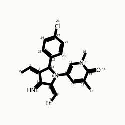 C/C=C1\C(=N)/C(=C\CC)N(c2cc(C)c(=O)n(C)c2)C1c1ccc(Cl)cc1